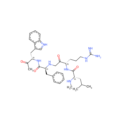 CN[C@@H](CC(C)C)C(=O)N[C@@H](CCCNC(=N)N)C(=O)CN[C@@H](Cc1ccccc1)C(=O)N[C@@H](Cc1c[nH]c2ccccc12)C(C)=O